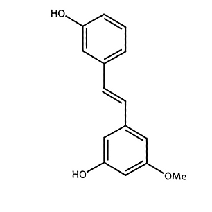 COc1cc(O)cc(/C=C/c2cccc(O)c2)c1